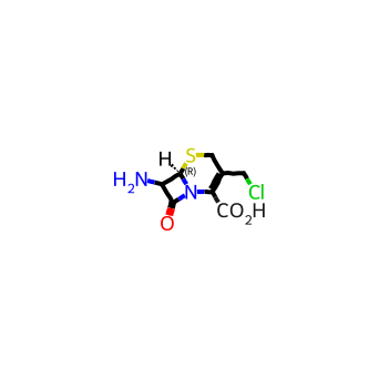 NC1C(=O)N2C(C(=O)O)=C(CCl)CS[C@H]12